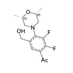 CC(=O)c1cc(CO)c(N2C[C@@H](C)O[C@@H](C)C2)c(F)c1F